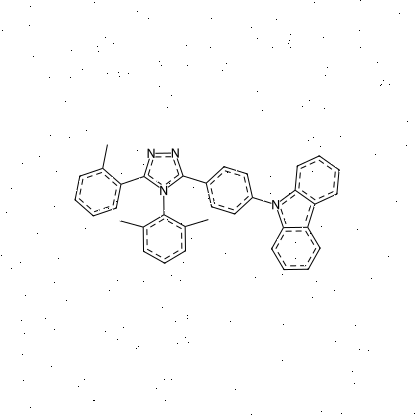 Cc1ccccc1-c1nnc(-c2ccc(-n3c4ccccc4c4ccccc43)cc2)n1-c1c(C)cccc1C